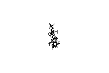 CC(C)(C)CCNC(=O)CCC(=O)Oc1c(F)c(F)cc(F)c1F